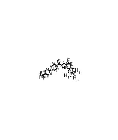 CC(C)(C)OC(=O)NC(CCC(=O)N1CCN(c2ncc(C(F)(F)F)cn2)CC1)C(F)F